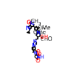 COc1cc(-c2cn(C)c(=O)c3cnc(C4CC4)cc23)cc(OC)c1CN1CCC(CCN2CCN(c3ccc4c(c3)C(=O)N(C3CCC(=O)NC3=O)C4)CC2)CC1.O=CO